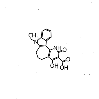 CCn1c2c(c3ccccc31)-c1[nH]c(=O)c(C(=O)O)c(O)c1CCC2